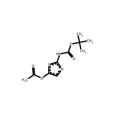 CC(=O)Oc1cnc(NC(=O)OC(C)(C)C)s1